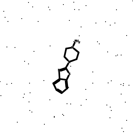 PN1CCN(c2nc3ccccc3s2)CC1